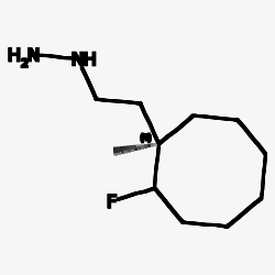 C[C@]1(CCNN)CCCCCCC1F